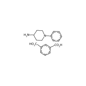 NC1CCN(c2ccccc2)CC1.O=C(O)c1cccc(C(=O)O)c1